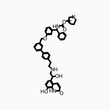 O=C(NC(c1ccccc1)c1cccc(OCc2cccc(-c3ccc(CCNCC(O)c4ccc(O)c5[nH]c(=O)ccc45)cc3)c2)c1)OC1CN2CCC1CC2